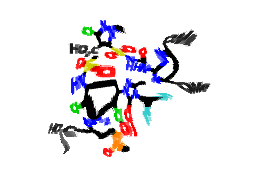 COc1cc(OC)nc(NC(=O)NS(=O)(=O)c2c(C(=O)O)c(Cl)nn2C)n1.CP(=O)(O)CCC(N)C(=O)O.Cc1nn(-c2cc(NS(C)(=O)=O)c(Cl)cc2Cl)c(=O)n1C(F)F